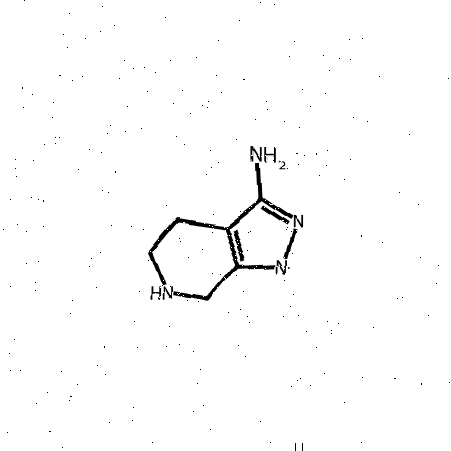 NC1=N[N]C2=C1CCNC2